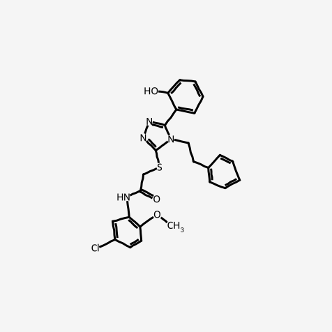 COc1ccc(Cl)cc1NC(=O)CSc1nnc(-c2ccccc2O)n1CCc1ccccc1